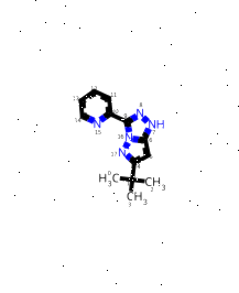 CC(C)(C)c1cc2[nH]nc(-c3ccccn3)n2n1